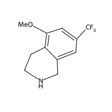 COc1cc(C(F)(F)F)cc2c1CCNC2